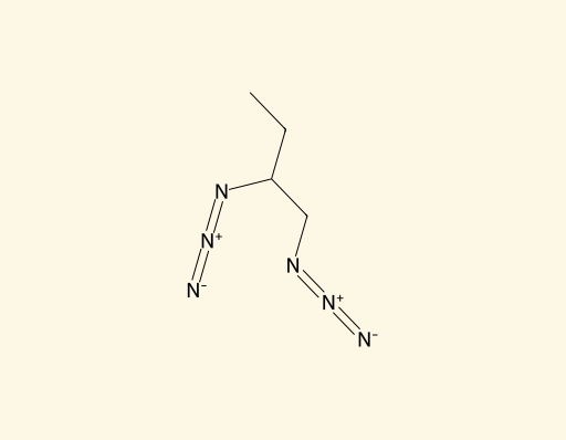 CCC(CN=[N+]=[N-])N=[N+]=[N-]